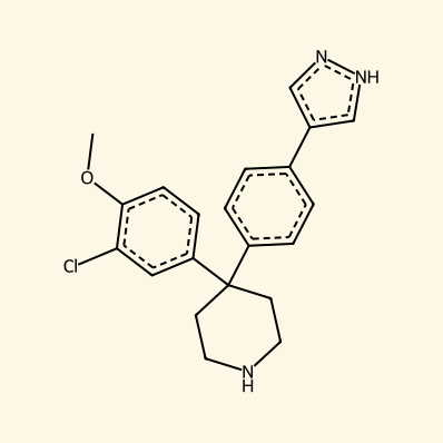 COc1ccc(C2(c3ccc(-c4cn[nH]c4)cc3)CCNCC2)cc1Cl